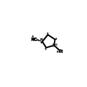 CCN1CC[C@@H](C#N)C1